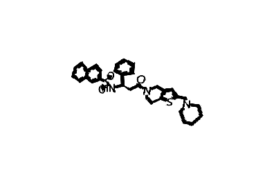 O=C(C[C@@H](NS(=O)(=O)c1ccc2ccccc2c1)c1ccccc1)N1CCc2sc(CN3CCCCC3)cc2C1